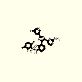 Cc1ccc(F)c(S(=O)(=O)Nc2cccc(-c3nc(-c4cncc(F)c4)sc3-c3ccnc(N)n3)c2F)c1F